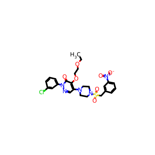 CCOCCOc1c(N2CCN(S(=O)(=O)Cc3cccc([N+](=O)[O-])c3)CC2)cnn(-c2cccc(Cl)c2)c1=O